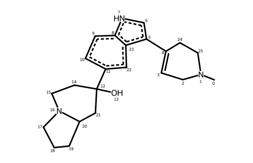 CN1CC=C(c2c[nH]c3ccc(C4(O)CCN5CCCC5C4)cc23)CC1